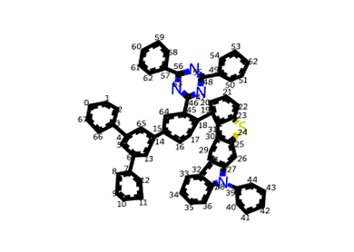 c1ccc(-c2cc(-c3ccccc3)cc(-c3ccc(-c4cccc5sc6cc7c(cc6c45)c4ccccc4n7-c4ccccc4)c(-c4nc(-c5ccccc5)nc(-c5ccccc5)n4)c3)c2)cc1